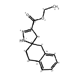 CCOC(=O)C1=NNC2(CCc3ccccc3C2)C1